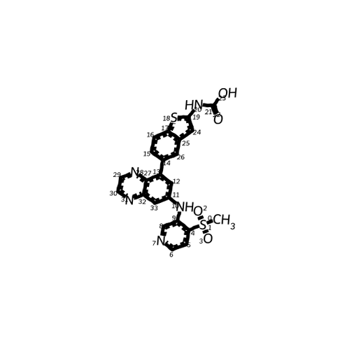 CS(=O)(=O)c1ccncc1Nc1cc(-c2ccc3sc(NC(=O)O)cc3c2)c2nccnc2c1